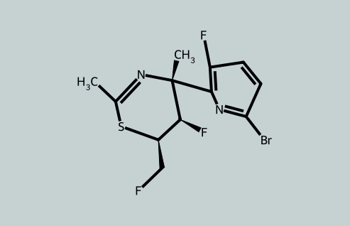 CC1=N[C@](C)(c2nc(Br)ccc2F)[C@@H](F)[C@@H](CF)S1